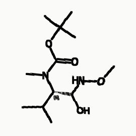 CONC(O)[C@H](C(C)C)N(C)C(=O)OC(C)(C)C